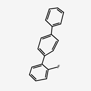 Fc1ccccc1-c1ccc(-c2ccccc2)cc1